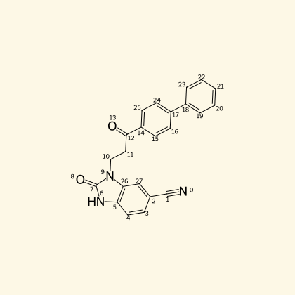 N#Cc1ccc2[nH]c(=O)n(CCC(=O)c3ccc(-c4ccccc4)cc3)c2c1